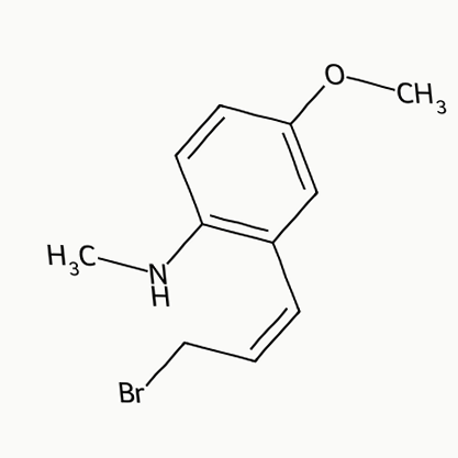 CNc1ccc(OC)cc1/C=C\CBr